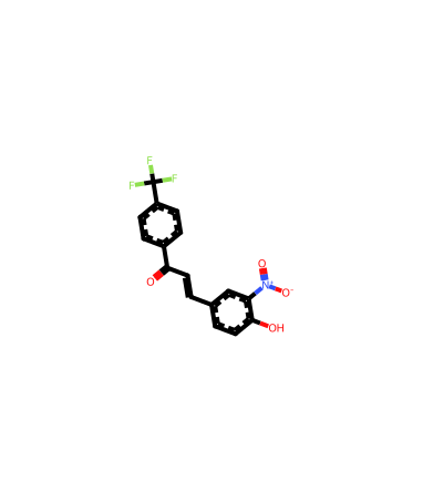 O=C(/C=C/c1ccc(O)c([N+](=O)[O-])c1)c1ccc(C(F)(F)F)cc1